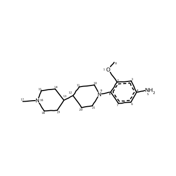 COc1cc(N)ccc1N1CCC(C2CCN(C)CC2)CC1